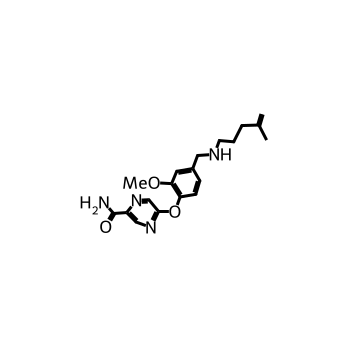 C=C(C)CCCNCc1ccc(Oc2cnc(C(N)=O)cn2)c(OC)c1